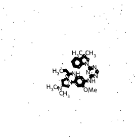 C=CC(=O)Nc1cc(Nc2ncnc(N3CC(C)(C)c4ccccc43)n2)c(OC)cc1N1CC[C@@H](N(C)C)C1